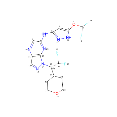 FC(F)Oc1cc(Nc2cnc3cnn([C@H](C(F)F)C4CCOCC4)c3n2)n[nH]1